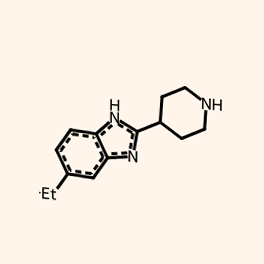 C[CH]c1ccc2[nH]c(C3CCNCC3)nc2c1